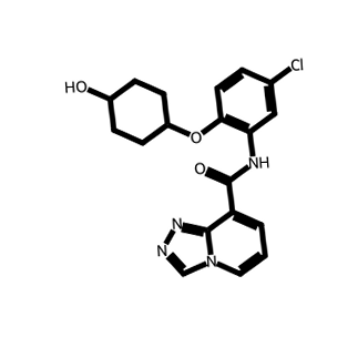 O=C(Nc1cc(Cl)ccc1OC1CCC(O)CC1)c1cccn2cnnc12